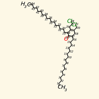 CCCCCCCCCCCCCCCCCC(CCCCl)C(=O)C(CCCCl)CCCCCCCCCCCCCCCCC